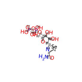 NC(=O)c1c[se]c([C@@H]2O[C@H](COP(=O)(O)OP(=O)(O)O)[C@@H](O)[C@H]2O)n1